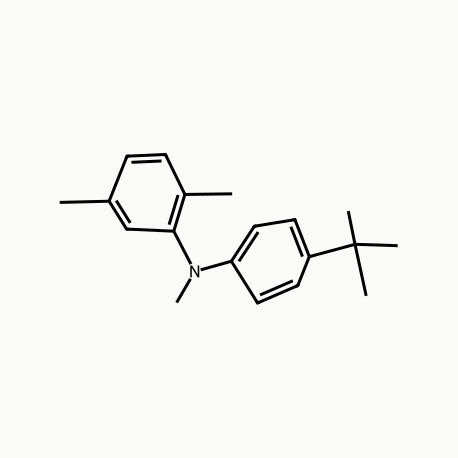 Cc1ccc(C)c(N(C)c2ccc(C(C)(C)C)cc2)c1